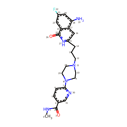 CNC(=O)c1ccc(N2CCN(CCCc3cc4c(N)cc(F)cc4c(=O)[nH]3)CC2)nc1